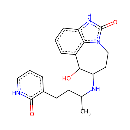 CC(CCc1ccc[nH]c1=O)NC1CCn2c(=O)[nH]c3cccc(c32)C1O